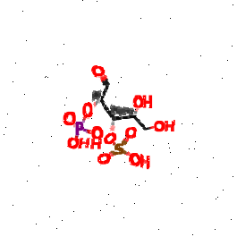 O=C[C@@H](OP(=O)(O)O)[C@@H](OS(=O)(=O)O)[C@H](O)CO